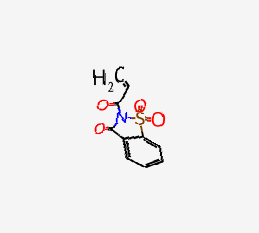 C=CC(=O)N1C(=O)c2ccccc2S1(=O)=O